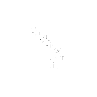 FC(F)(F)c1ccc(-c2cc(Cn3cc4nc(-c5cc6ccccc6s5)nc-4cn3)on2)c(C(F)(F)F)c1